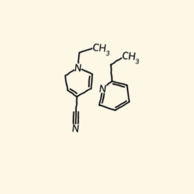 CCN1C=CC(C#N)=CC1.CCc1ccccn1